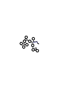 C=C/C=C\C=C(/c1ccccc1)N(c1ccc(-c2cccc3c2oc2ccccc23)cc1)c1ccc(-n2c3ccccc3c3ccc4c(c32)-c2ccccc2C42c3ccccc3-c3ccccc32)cc1